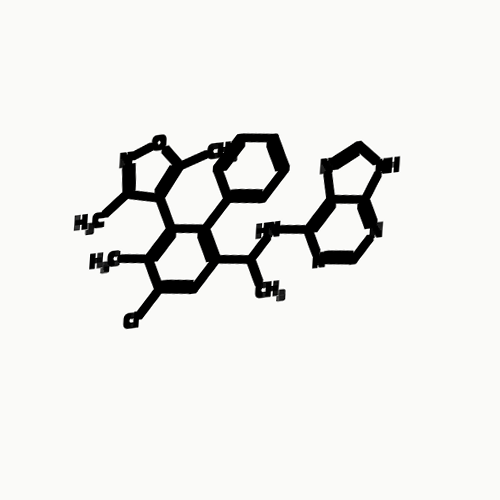 Cc1noc(C)c1-c1c(C)c(Cl)cc(C(C)Nc2ncnc3[nH]cnc23)c1-c1ccccc1